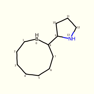 B1CCCCCCCC1C1CCCN1